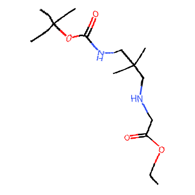 CCOC(=O)CNCC(C)(C)CNC(=O)OC(C)(C)C